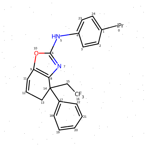 CC(C)c1ccc(Nc2nc3c(o2)C=CCC3(CC(F)(F)F)c2ccccc2)cc1